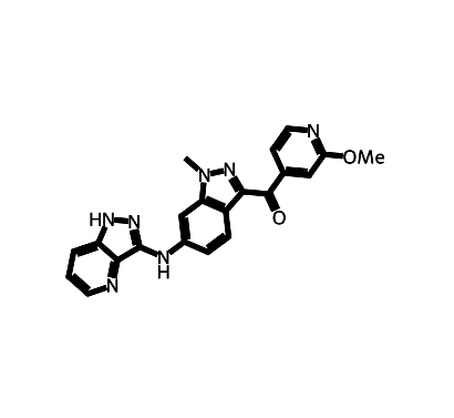 COc1cc(C(=O)c2nn(C)c3cc(Nc4n[nH]c5cccnc45)ccc23)ccn1